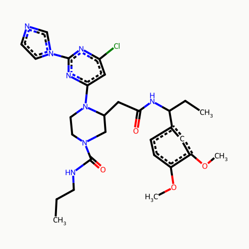 CCCNC(=O)N1CCN(c2cc(Cl)nc(-n3ccnc3)n2)C(CC(=O)NC(CC)c2ccc(OC)c(OC)c2)C1